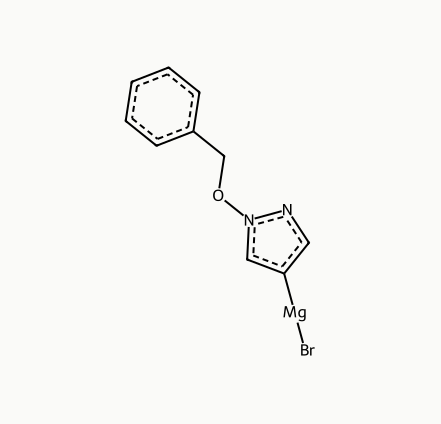 [Br][Mg][c]1cnn(OCc2ccccc2)c1